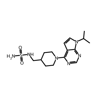 CC(C)n1ccc2c(N3CCC(CNS(N)(=O)=O)CC3)ncnc21